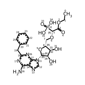 CCOC(=O)[C@H](OC[C@H]1O[C@@H](n2cnc3c(N)nc(Cc4ccccc4)nc32)[C@H](O)[C@@H]1O)P(=O)(O)O